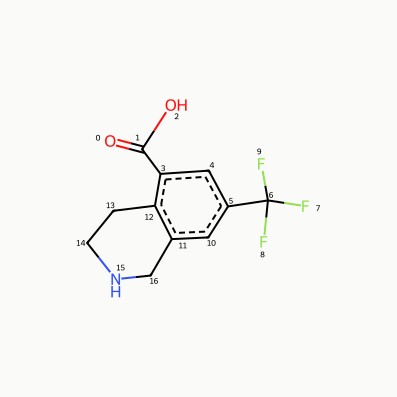 O=C(O)c1cc(C(F)(F)F)cc2c1CCNC2